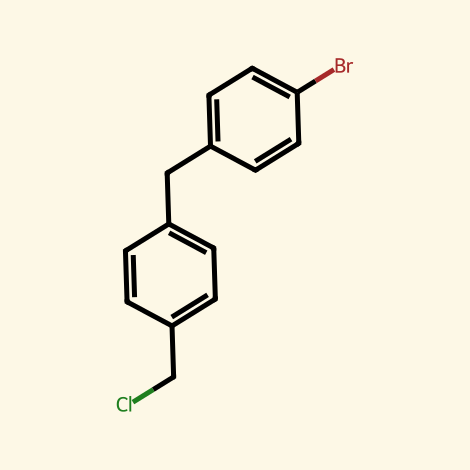 ClCc1ccc(Cc2ccc(Br)cc2)cc1